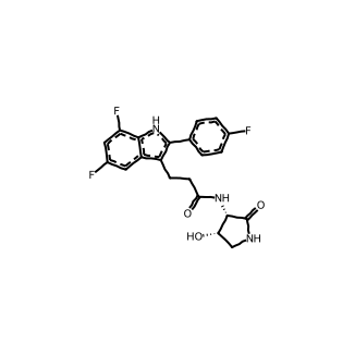 O=C(CCc1c(-c2ccc(F)cc2)[nH]c2c(F)cc(F)cc12)N[C@@H]1C(=O)NC[C@@H]1O